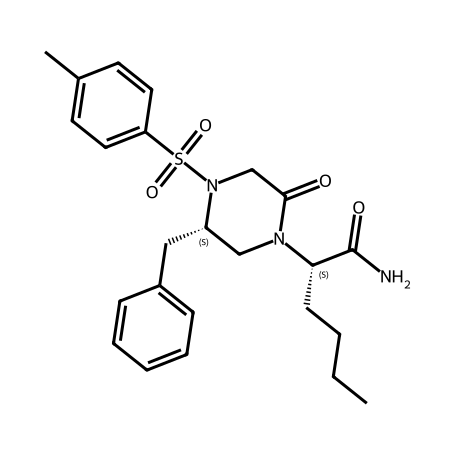 CCCC[C@@H](C(N)=O)N1C[C@H](Cc2ccccc2)N(S(=O)(=O)c2ccc(C)cc2)CC1=O